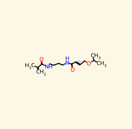 C=C(C)C(=O)NCCCCNC(=O)/C=C/COC(C)C